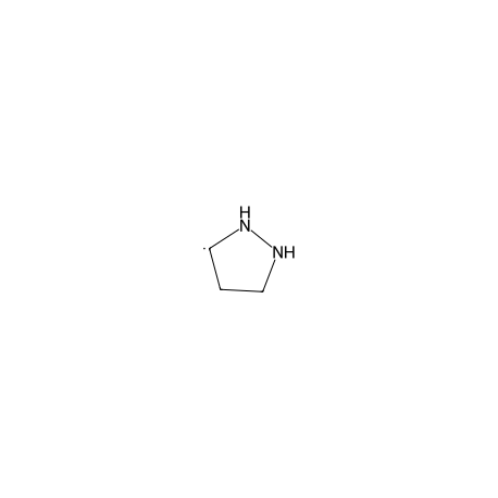 [CH]1CCNN1